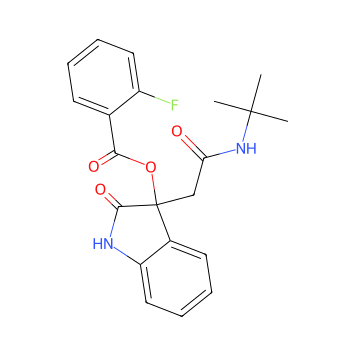 CC(C)(C)NC(=O)CC1(OC(=O)c2ccccc2F)C(=O)Nc2ccccc21